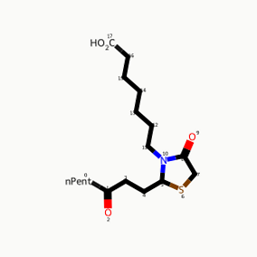 CCCCCC(=O)CCC1SCC(=O)N1CCCCCCC(=O)O